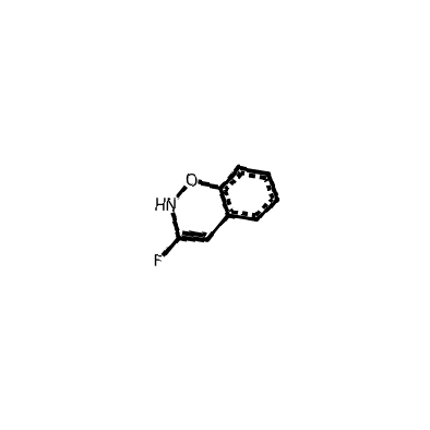 FC1=Cc2ccccc2ON1